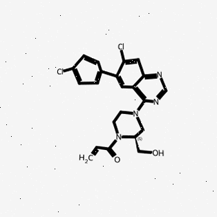 C=CC(=O)N1CCN(c2ncnc3cc(Cl)c(-c4ccc(Cl)cc4)cc23)C[C@H]1CO